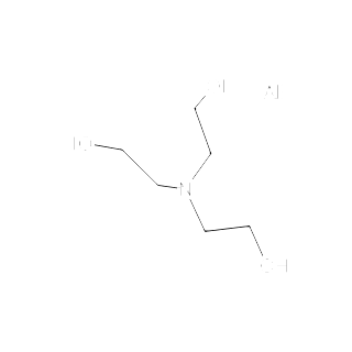 OCCN(CCO)CCO.[Al]